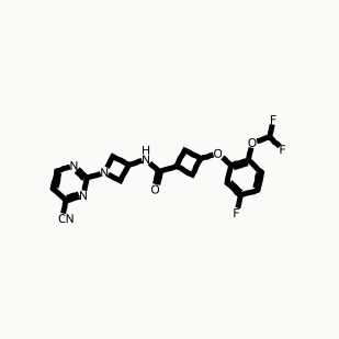 N#Cc1ccnc(N2CC(NC(=O)C3CC(Oc4cc(F)ccc4OC(F)F)C3)C2)n1